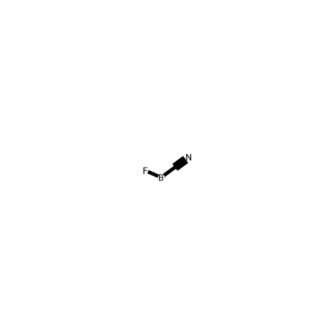 N#C[B]F